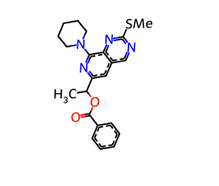 CSc1ncc2cc(C(C)OC(=O)c3ccccc3)nc(N3CCCCC3)c2n1